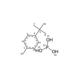 Cc1ccc(C(C)(C)C)cc1.OP(O)O